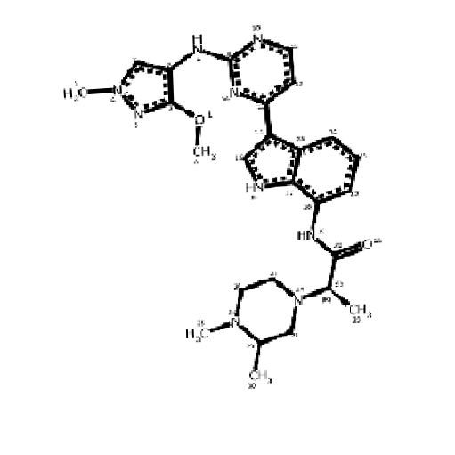 COc1nn(C)cc1Nc1nccc(-c2c[nH]c3c(NC(=O)[C@@H](C)N4CCN(C)C(C)C4)cccc23)n1